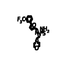 NC(=S)N(CCN1CCOCC1)N=Cc1ccc(-c2cccc(C(F)(F)F)c2)o1